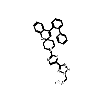 O=C(O)Cn1nnc(-c2cnc(N3CCC4(C=C(c5ccccc5-c5ccccc5)c5ccccc5O4)CC3)s2)n1